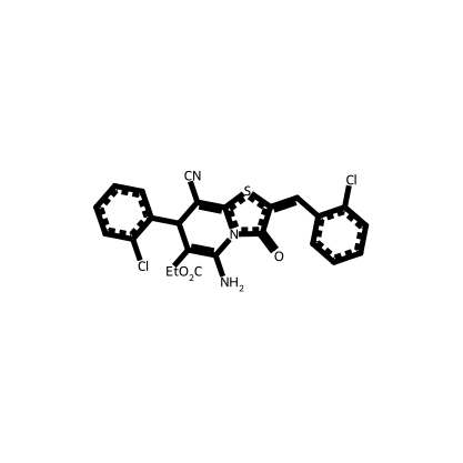 CCOC(=O)C1=C(N)n2c(sc(=Cc3ccccc3Cl)c2=O)=C(C#N)C1c1ccccc1Cl